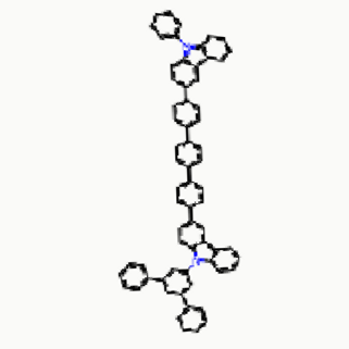 c1ccc(-c2cc(-c3ccccc3)cc(-n3c4ccccc4c4cc(-c5ccc(-c6ccc(-c7ccc(-c8ccc9c(c8)c8ccccc8n9-c8ccccc8)cc7)cc6)cc5)ccc43)c2)cc1